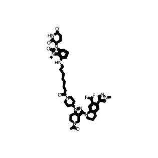 CC(=O)N1CCc2c(c(N3CCCc4cc(-c5cnn(C)c5)c(C(F)F)cc43)nn2C2CCN(C(=O)CCCCCCCNc3cccc4c3n(C)c(=O)n4C3CCC(=O)NC3=O)CC2)C1